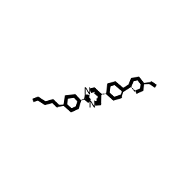 CCCCC[C@H]1CC[C@H](c2ncc([C@H]3CC[C@H]([C@H]4CC[C@H](CC)CC4)CC3)cn2)CC1